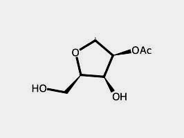 CC(=O)O[C@@H]1[CH]O[C@H](CO)[C@@H]1O